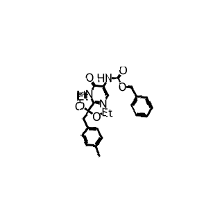 CCOC(Cc1ccc(C)cc1)(OCC)c1ncc(NC(=O)OCc2ccccc2)c(=O)[nH]1